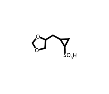 O=S(=O)(O)C1CC1CC1COCO1